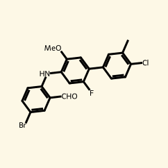 COc1cc(-c2ccc(Cl)c(C)c2)c(F)cc1Nc1ccc(Br)cc1C=O